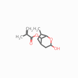 C=C(C)C(=O)OC1C2CC(O)OC1C(C)C2